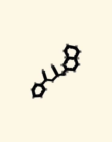 O=C(CC(=O)c1ccccc1)Nc1ccc2ccccc2n1